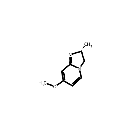 COC1=CC2=N[C@H](C)CN2C=C1